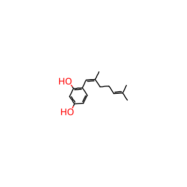 CC(C)=CCCC(C)=Cc1ccc(O)cc1O